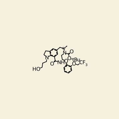 C[C@H](Cc1cc2c(c(C(N)=O)c1)N(CCCO)CC2)N(CCOc1ccccc1OCC(F)(F)F)C(=O)OC(C)(C)C